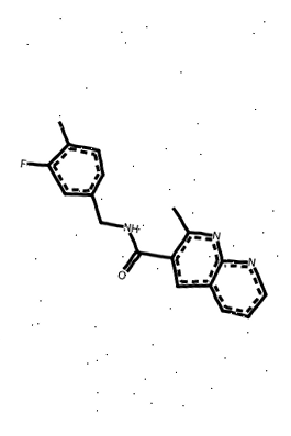 Cc1ccc(CNC(=O)c2cc3cccnc3nc2C)cc1F